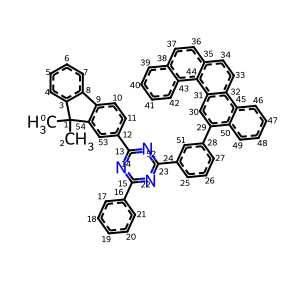 CC1(C)c2ccccc2-c2ccc(-c3nc(-c4ccccc4)nc(-c4cccc(-c5cc6c(ccc7ccc8ccccc8c76)c6ccccc56)c4)n3)cc21